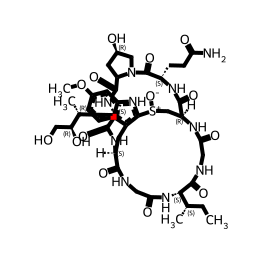 CC[C@H](C)[C@@H]1NC(=O)CNC(=O)[C@@H]2Cc3c([nH]c4cc(OC)ccc34)[S+]([O-])C[C@H](NC(=O)CNC1=O)C(=O)N[C@@H](CCC(N)=O)C(=O)N1C[C@H](O)CC1C(=O)N[C@@H]([C@@H](C)[C@@H](O)CO)C(=O)N2